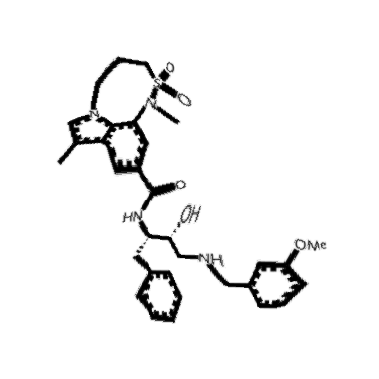 COc1cccc(CNC[C@@H](O)[C@H](Cc2ccccc2)NC(=O)c2cc3c4c(c2)c(C)cn4CCCS(=O)(=O)N3C)c1